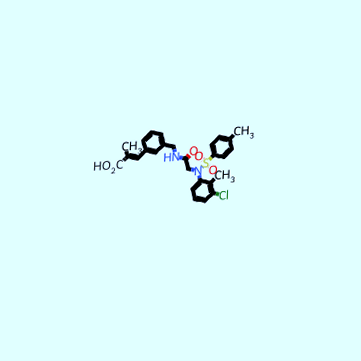 CC(=Cc1cccc(CNC(=O)CN(c2cccc(Cl)c2C)S(=O)(=O)c2ccc(C)cc2)c1)C(=O)O